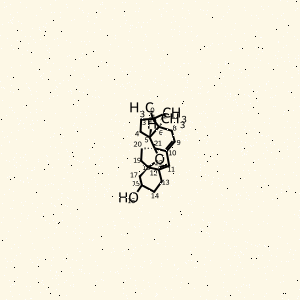 CC1(C)CC[C@@H]2[C@]1(C)CC=C1C=C3CCC(O)C[C@]34CC[C@@]12O4